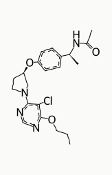 CCCOc1ncnc(N2CC[C@@H](Oc3ccc([C@H](C)NC(C)=O)cc3)C2)c1Cl